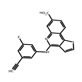 C#Cc1cc(F)cc(Nc2nc3cc(C(=O)O)ccc3c3sccc23)c1